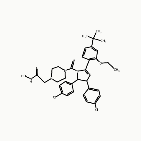 CCOc1cc(C(C)(C)C)ccc1C1=NC(c2ccc(Cl)cc2)C(c2ccc(Cl)cc2)N1C(=O)N1CCN(CC(=O)NO)CC1